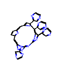 C1=Cc2cc3nnc(nc4nc(c(-c5cnccn5)c5[nH]c(cc1n2)cc5-c1cnccn1)C(c1cnccn1)=N4)n3-c1cnccn1